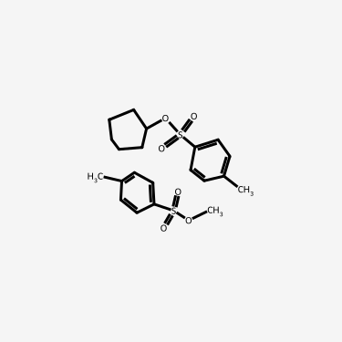 COS(=O)(=O)c1ccc(C)cc1.Cc1ccc(S(=O)(=O)OC2CCCCC2)cc1